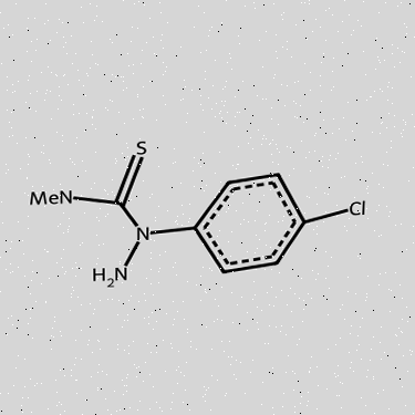 CNC(=S)N(N)c1ccc(Cl)cc1